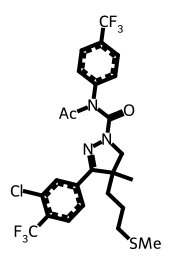 CSCCCC1(C)CN(C(=O)N(C(C)=O)c2ccc(C(F)(F)F)cc2)N=C1c1ccc(C(F)(F)F)c(Cl)c1